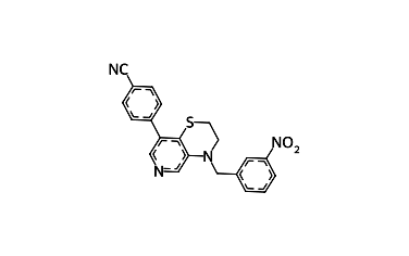 N#Cc1ccc(-c2cncc3c2SCCN3Cc2cccc([N+](=O)[O-])c2)cc1